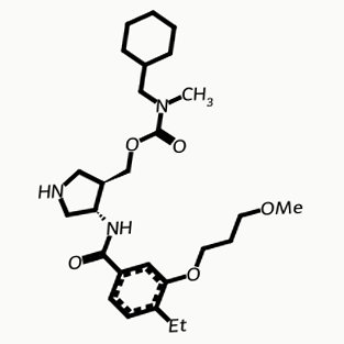 CCc1ccc(C(=O)N[C@@H]2CNC[C@H]2COC(=O)N(C)CC2CCCCC2)cc1OCCCOC